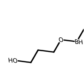 CBOCCCO